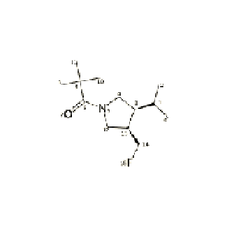 CC(C)[C@@H]1CN(C(=O)C(C)(C)C)C[C@@H]1CF